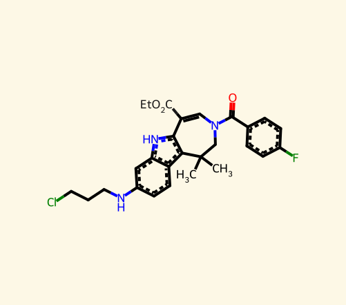 CCOC(=O)C1=CN(C(=O)c2ccc(F)cc2)CC(C)(C)c2c1[nH]c1cc(NCCCCl)ccc21